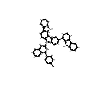 Cc1ccc(-c2nc(-n3c4ccc(-c5cccc6c5sc5ccccc56)cc4c4c5sc6ccccc6c5ccc43)nc3ccccc23)cc1